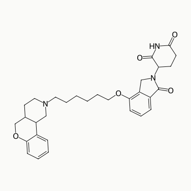 O=C1CCC(N2Cc3c(OCCCCCCN4CCC5COc6ccccc6C5C4)cccc3C2=O)C(=O)N1